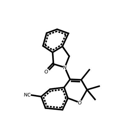 CC1=C(N2Cc3ccccc3C2=O)c2cc(C#N)ccc2OC1(C)C